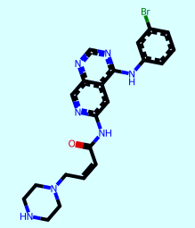 O=C(/C=C\CN1CCNCC1)Nc1cc2c(Nc3cccc(Br)c3)ncnc2cn1